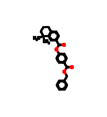 CC1(C)CCCc2ccc(C(=O)Oc3ccc(C(=O)OCc4ccccc4)cc3)cc21